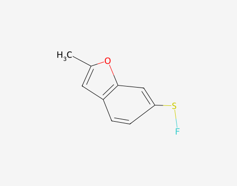 Cc1cc2ccc(SF)cc2o1